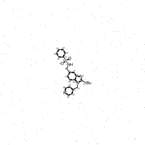 CC(C)(C)c1nc2cc(CNS(=O)(=O)c3ccccc3)ccc2n1Cc1ccncc1